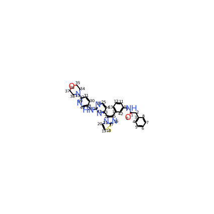 O=C(Cc1ccccc1)Nc1cccc(-c2nc3sccn3c2-c2ccnc(Nc3ccc(N4CCOCC4)nc3)n2)c1